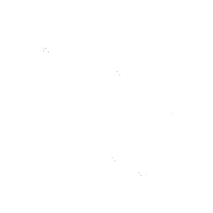 O=C1Nc2ccccc2C1CC(=O)N(Cc1cc(F)cc(Cl)c1)c1ccc(-c2c[nH]cn2)cc1